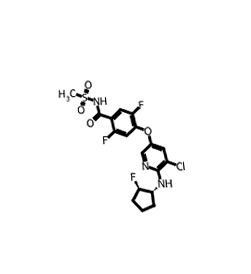 CS(=O)(=O)NC(=O)c1cc(F)c(Oc2cnc(N[C@@H]3CCC[C@H]3F)c(Cl)c2)cc1F